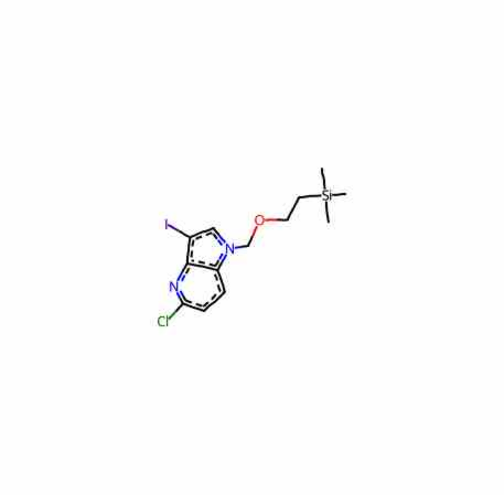 C[Si](C)(C)CCOCn1cc(I)c2nc(Cl)ccc21